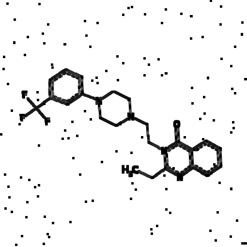 CCc1nc2ccccc2c(=O)n1CCN1CCN(c2cccc(C(F)(F)F)c2)CC1